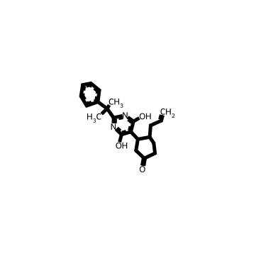 C=CCC1CCC(=O)CC1c1c(O)nc(C(C)(C)c2ccccc2)nc1O